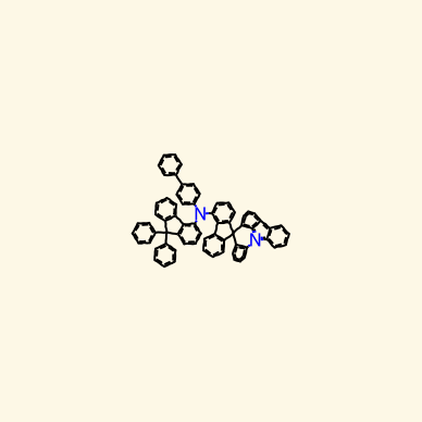 c1ccc(-c2ccc(N(c3cccc4c3-c3ccccc3C4(c3ccccc3)c3ccccc3)c3cccc4c3-c3ccccc3C43c4ccccc4-n4c5ccccc5c5cccc3c54)cc2)cc1